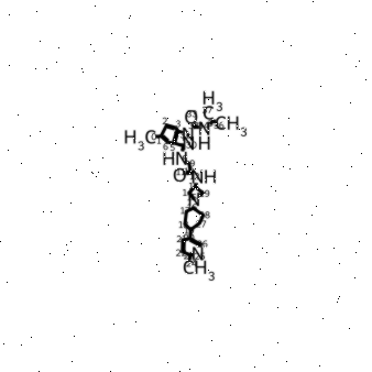 Cc1ccc2c(c1)c(NCC(=O)NC1CN(C3CCC(c4ccc(C)nc4)CC3)C1)nn2C(=O)NC(C)C